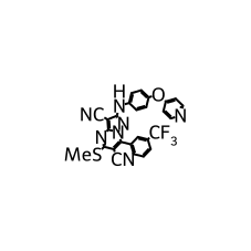 CSc1nc2c(C#N)c(Nc3ccc(Oc4ccncc4)cc3)nn2c(-c2cccc(C(F)(F)F)c2)c1C#N